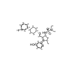 CC1C[C@H](NS(=O)(=O)N(C)C)[C@H](CO[C@H]2CC[C@@H](c3cccc(F)c3)CC2)N1c1cc(O)ccn1